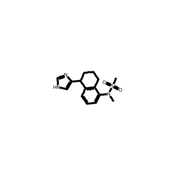 CN(c1cccc2c1CCCC2c1c[nH]cn1)S(C)(=O)=O